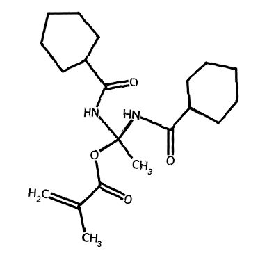 C=C(C)C(=O)OC(C)(NC(=O)C1CCCCC1)NC(=O)C1CCCCC1